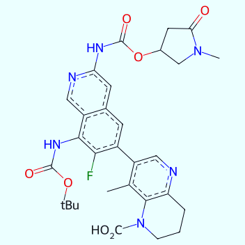 Cc1c(-c2cc3cc(NC(=O)OC4CC(=O)N(C)C4)ncc3c(NC(=O)OC(C)(C)C)c2F)cnc2c1N(C(=O)O)CCC2